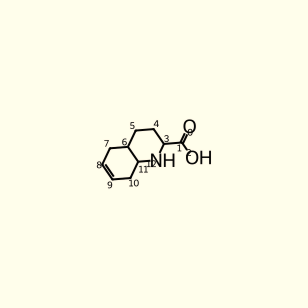 O=C(O)C1CCC2CC=CCC2N1